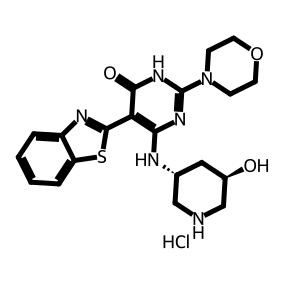 Cl.O=c1[nH]c(N2CCOCC2)nc(N[C@H]2CNC[C@H](O)C2)c1-c1nc2ccccc2s1